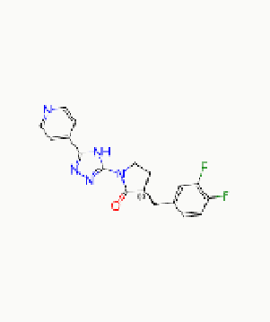 O=C1[C@H](Cc2ccc(F)c(F)c2)CCN1c1nnc(-c2ccncc2)[nH]1